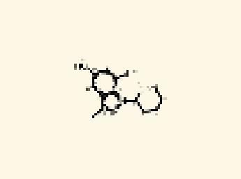 Cc1nn(C2CCCCO2)c2c(F)cc(O)cc12